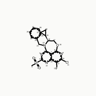 CS(=O)(=O)c1nc2c3c(nc(Cl)c(F)c3n1)OC[C@H](C1CC1)N2Cc1ccccc1